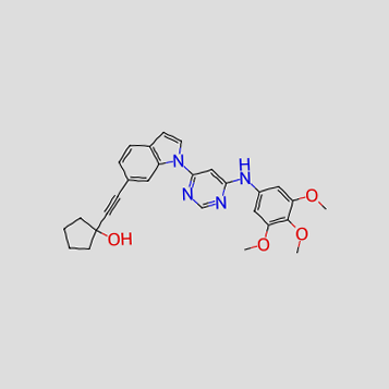 COc1cc(Nc2cc(-n3ccc4ccc(C#CC5(O)CCCC5)cc43)ncn2)cc(OC)c1OC